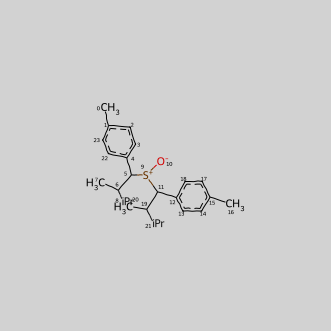 Cc1ccc(C(C(C)C(C)C)[S+]([O-])C(c2ccc(C)cc2)C(C)C(C)C)cc1